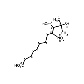 CCCCCCCCC(C(CCCCCCCC(=O)O)[N+](=O)[O-])C(C)(C)S